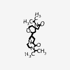 CC(C)N1CCN2CC(C3CC4(CCO3)CC(=O)N4C(C)C)CC2C1=O